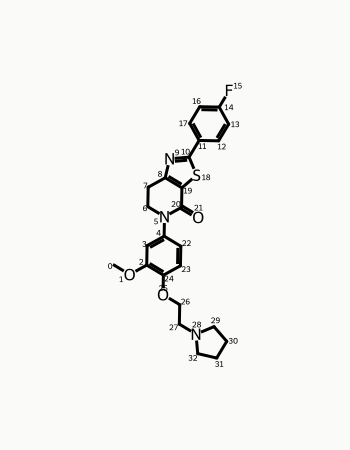 COc1cc(N2CCc3nc(-c4ccc(F)cc4)sc3C2=O)ccc1OCCN1CCCC1